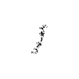 C=C(F)C(=O)OCC(F)(F)C(F)(F)OCCCOC(F)(F)C(F)(F)COC(=O)C(=C)F